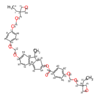 CCC1(COCOc2ccc(OCOc3ccc4c(c3)C(C)c3cc(OC(=O)c5ccc(OCOCC6(CC)COC6)cc5)ccc3-4)cc2)COC1